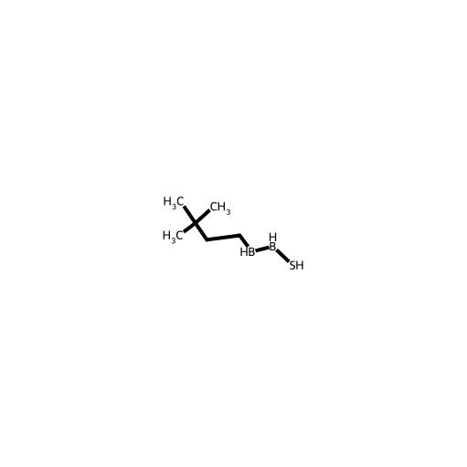 CC(C)(C)CCBBS